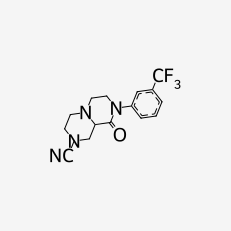 N#CN1CCN2CCN(c3cccc(C(F)(F)F)c3)C(=O)C2C1